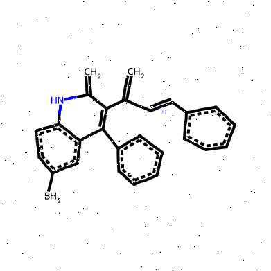 Bc1ccc2c(c1)C(c1ccccc1)=C(C(=C)/C=C/c1ccccc1)C(=C)N2